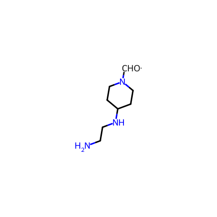 NCCNC1CCN([C]=O)CC1